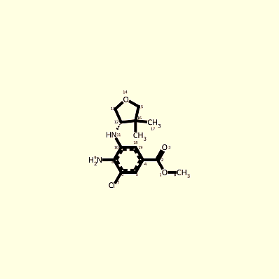 COC(=O)c1cc(Cl)c(N)c(N[C@@H]2COCC2(C)C)c1